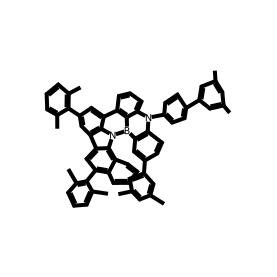 Cc1cc(C)cc(-c2ccc(N3c4ccc(-c5cc(C)cc(C)c5)cc4B4c5c(cccc53)-c3cc(-c5c(C)cccc5C)cc5c6cc(-c7c(C)cccc7C)c7ccccc7c6n4c35)cc2)c1